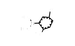 CN(C)c1cc(Br)ccc1C(F)(F)F